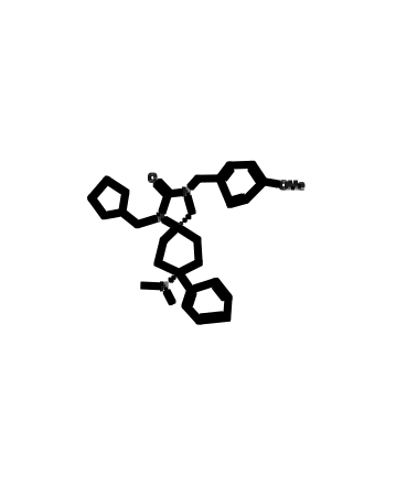 COc1ccc(CN2C[C@]3(CC[C@@](c4ccccc4)(N(C)C)CC3)N(CC3CCCC3)C2=O)cc1